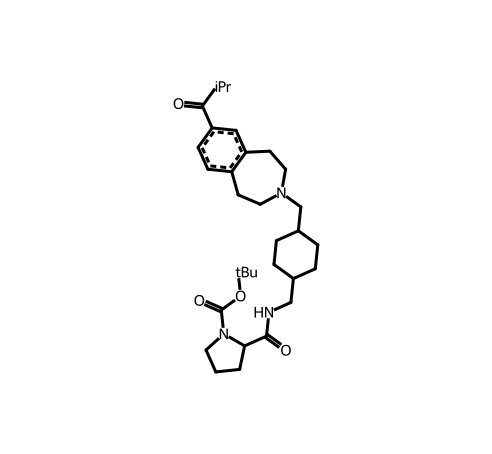 CC(C)C(=O)c1ccc2c(c1)CCN(CC1CCC(CNC(=O)C3CCCN3C(=O)OC(C)(C)C)CC1)CC2